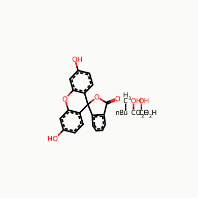 CCCCC.O=C(O)O.O=C(O)O.O=C1OC2(c3ccc(O)cc3Oc3cc(O)ccc32)c2ccccc21